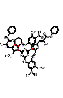 CCN(CC)c1cc(Nc2nc(Nc3cc(N(CC)CC)c(OC)cc3/N=N/c3nc(S(=O)(=O)O)c(/C=C(/C(C)=O)C(=O)Nc4ccccc4)s3)nc(SC3CCCCC3)n2)c(/N=N/c2ncc(/C=C(\C(C)=O)C(=O)Nc3ccccc3)s2)cc1OC